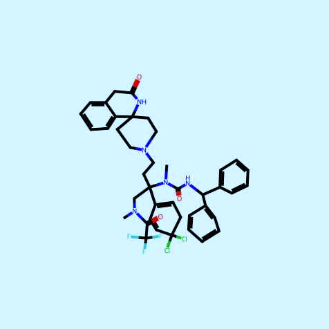 CN(CC(CCN1CCC2(CC1)NC(=O)Cc1ccccc12)(C1=CCC(Cl)(Cl)C=C1)N(C)C(=O)NC(c1ccccc1)c1ccccc1)C(=O)C(F)(F)F